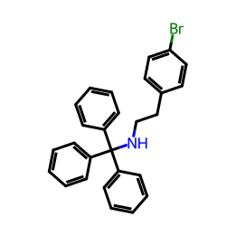 Brc1ccc(CCNC(c2ccccc2)(c2ccccc2)c2ccccc2)cc1